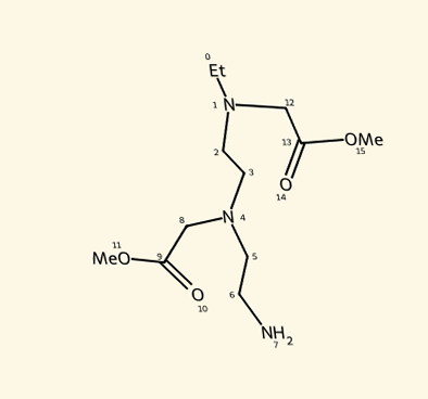 CCN(CCN(CCN)CC(=O)OC)CC(=O)OC